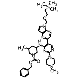 CC1CC(Nc2nc(N3CCN(C)CC3)ncc2-c2cnc3c(ccn3COCC[Si](C)(C)C)n2)CN(C(=O)OCc2ccccc2)C1